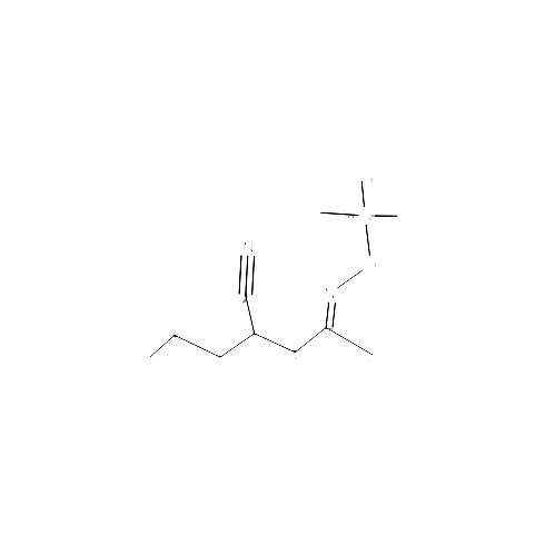 CCCC(C#N)CC(C)=NO[Si](C)(C)C